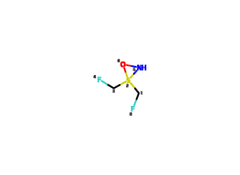 FCS1(CF)NO1